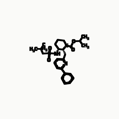 CC(C)CS(=O)(=O)N[C@@H]1CCCN(C(=O)OC(C)C)[C@@H]1Cc1cccc(-c2ccccc2)n1